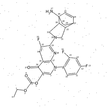 CCOC(=O)Oc1cn(-c2ccc(F)cc2F)c2nc(N3CC4C5C=CC(N)(CC5)C4C3)c(F)cc2c1=O